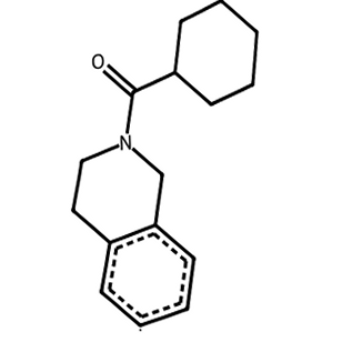 O=C(C1CCCCC1)N1CCc2c[c]ccc2C1